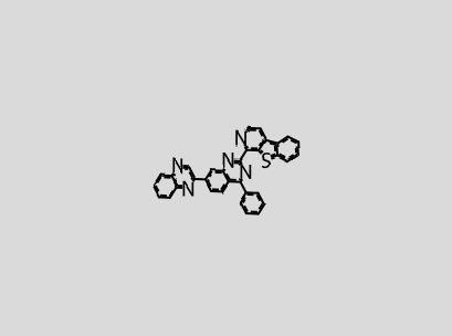 c1ccc(-c2nc(-c3nccc4c3sc3ccccc34)nc3cc(-c4cnc5ccccc5n4)ccc23)cc1